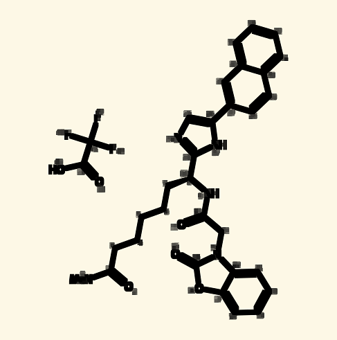 CNC(=O)CCCCC[C@H](NC(=O)Cn1c(=O)oc2ccccc21)c1ncc(-c2ccc3ccccc3c2)[nH]1.O=C(O)C(F)(F)F